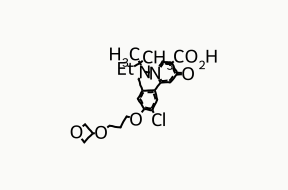 CCC(C)(C)N1Cc2cc(OCCCOC3COC3)c(Cl)cc2-c2cc(=O)c(C(=O)O)cn21